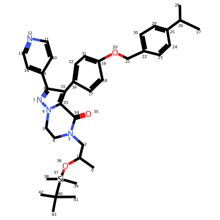 CC(CN1CCn2nc(-c3ccncc3)c(-c3ccc(OCc4ccc(C(C)C)cc4)cc3)c2C1=O)O[Si](C)(C)C(C)(C)C